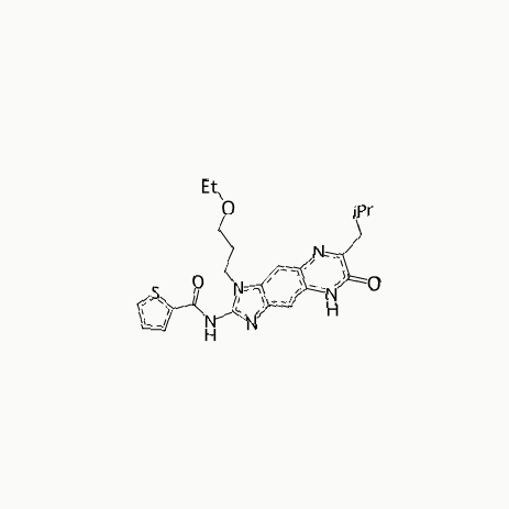 CCOCCCn1c(NC(=O)c2cccs2)nc2cc3[nH]c(=O)c(CC(C)C)nc3cc21